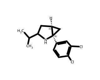 CC(C)C1C[C@H]2C[C@@]2(c2ccc(Cl)c(Cl)c2)N1